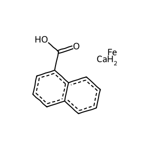 O=C(O)c1cccc2ccccc12.[CaH2].[Fe]